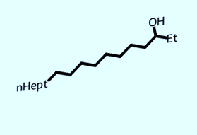 CCCCCCCCCCCCCCCC(O)CC